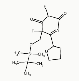 CC(C)(C)[Si](C)(C)OCC1(F)C(=O)N(F)C(=O)N=C1C1CCCO1